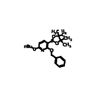 CCCCOc1ccc(B2OC(C)(C)C(C)(C)O2)c(OCc2ccccc2)n1